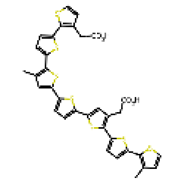 Cc1ccsc1-c1ccc(-c2sc(-c3ccc(-c4cc(C)c(-c5ccc(-c6sccc6CC(=O)O)s5)s4)s3)cc2CC(=O)O)s1